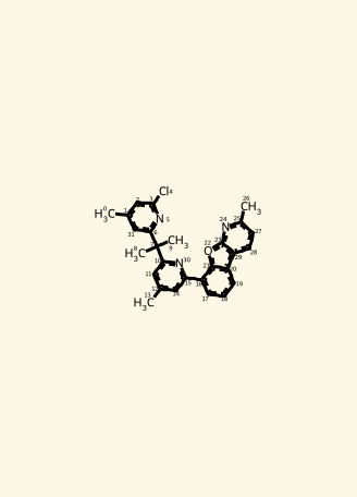 Cc1cc(Cl)nc(C(C)(C)c2cc(C)cc(-c3cccc4c3oc3nc(C)ccc34)n2)c1